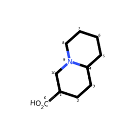 O=C(O)C1CCC2CCCCN2C1